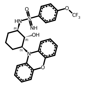 N=S(=O)(N[C@@H]1CCC[C@H](N2c3ccccc3Oc3ccccc32)[C@H]1O)c1ccc(OC(F)(F)F)cc1